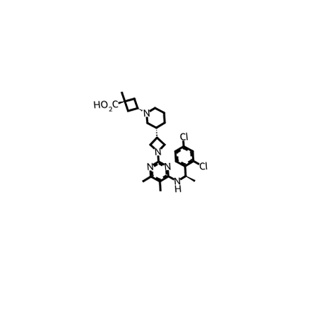 Cc1nc(N2CC([C@H]3CCCN([C@H]4C[C@](C)(C(=O)O)C4)C3)C2)nc(N[C@H](C)c2ccc(Cl)cc2Cl)c1C